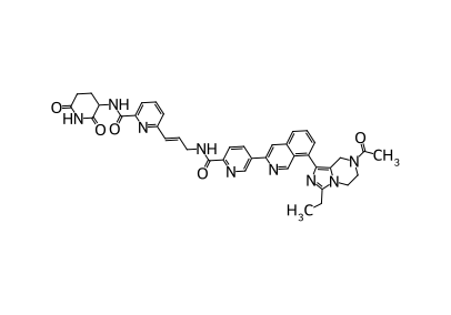 CCc1nc(-c2cccc3cc(-c4ccc(C(=O)NC/C=C/c5cccc(C(=O)NC6CCC(=O)NC6=O)n5)nc4)ncc23)c2n1CCN(C(C)=O)C2